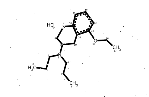 CCCN(CCC)C1CSc2cccc(OCC)c2C1.Cl